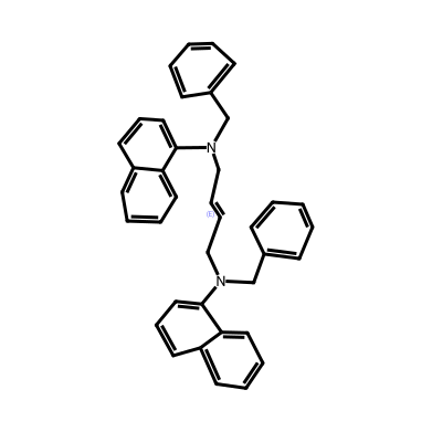 C(=C\CN(Cc1ccccc1)c1cccc2ccccc12)/CN(Cc1ccccc1)c1cccc2ccccc12